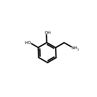 NCc1[c]ccc(O)c1O